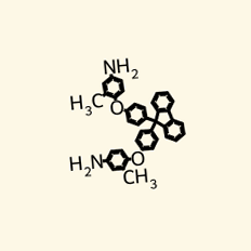 Cc1cc(N)ccc1Oc1ccc(C2(c3ccc(Oc4ccc(N)cc4C)cc3)c3ccccc3-c3ccccc32)cc1